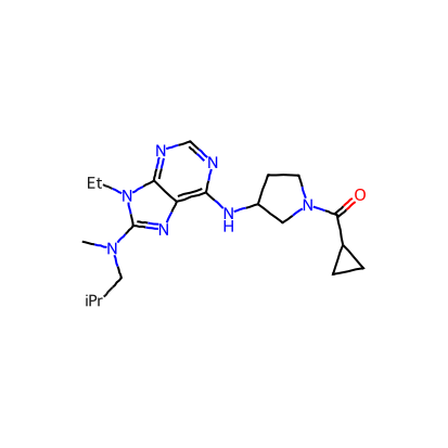 CCn1c(N(C)CC(C)C)nc2c(NC3CCN(C(=O)C4CC4)C3)ncnc21